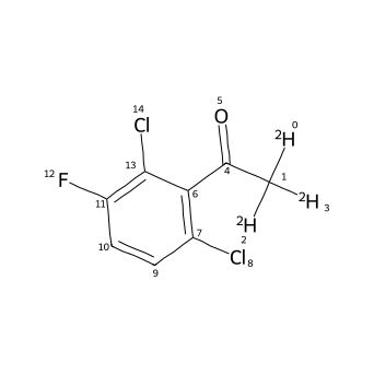 [2H]C([2H])([2H])C(=O)c1c(Cl)ccc(F)c1Cl